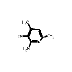 [C-]#[N+]c1c(C)cc(C)nc1N